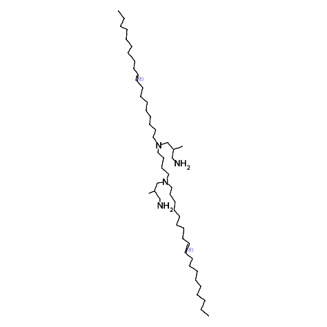 CCCCCCCCC/C=C/CCCCCCCCN(CCCCN(CCCCCCCC/C=C/CCCCCCCCC)CC(C)CN)CC(C)CN